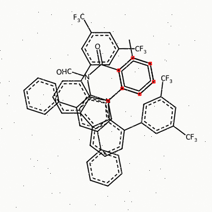 Cc1cccc(-n2c3c(-c4cc(C(F)(F)F)cc(C(F)(F)F)c4)cccc3c3cccc(-c4cc(C(F)(F)F)cc(C(F)(F)F)c4)c32)c1C(=O)N(C=O)c1c(-c2ccccc2)cc(-c2ccccc2)cc1-c1ccccc1